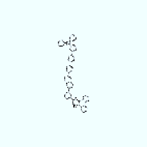 c1ccc(-n2c3ccccc3c3ccc(-c4ccc(-c5ccc(-c6ccc7cc(-c8cccc(-c9cnc%10c%11ccccc%11c%11ccccc%11c%10n9)c8)ccc7c6)cc5)cc4)cc32)cc1